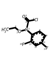 CCON(C(=O)Cl)c1ccc(F)cc1F